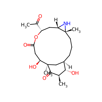 CC(=O)[C@@H]1C[C@@H]2N[C@]2(C)CCC[C@@H]2C[C@@](C)(C(=O)[C@H](C)[C@H]2O)[C@@H](O)CC(=O)O1